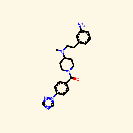 CN(CCc1cccc(N)c1)C1CCN(C(=O)c2ccc(-n3cncn3)cc2)CC1